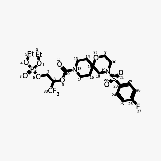 CCOP(=O)(OCC)OCC(OC(=O)N1CCC2(CC1)CN(S(=O)(=O)c1ccc(F)cc1)CCO2)C(F)(F)F